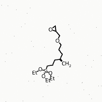 C=C(CCCOCC1CO1)CCC[Si](OCC)(OCC)OCC